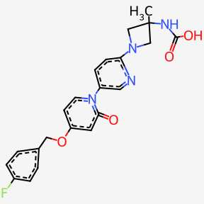 CC1(NC(=O)O)CN(c2ccc(-n3ccc(OCc4ccc(F)cc4)cc3=O)cn2)C1